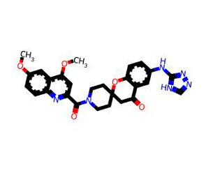 COc1ccc2nc(C(=O)N3CCC4(CC3)CC(=O)c3cc(Nc5nnc[nH]5)ccc3O4)cc(OC)c2c1